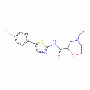 N#CN1CCOC(C(=O)Nc2ncc(-c3ccc(F)cc3)s2)C1